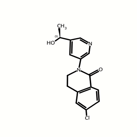 C[C@H](O)c1cncc(N2CCc3cc(Cl)ccc3C2=O)c1